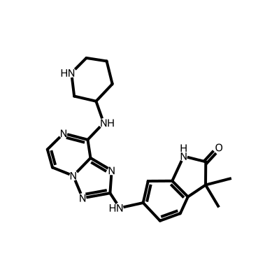 CC1(C)C(=O)Nc2cc(Nc3nc4c(NC5CCCNC5)nccn4n3)ccc21